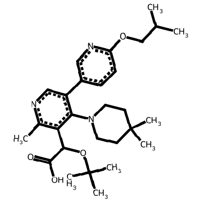 Cc1ncc(-c2ccc(OCC(C)C)nc2)c(N2CCC(C)(C)CC2)c1C(OC(C)(C)C)C(=O)O